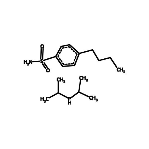 CC(C)PC(C)C.CCCCc1ccc(S(N)(=O)=O)cc1